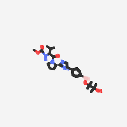 COC(=O)N[C@H](C(=O)N1CCC[C@H]1c1ncc(-c2ccc(BOC(C)(C)C(C)(C)O)cc2)[nH]1)C(C)C